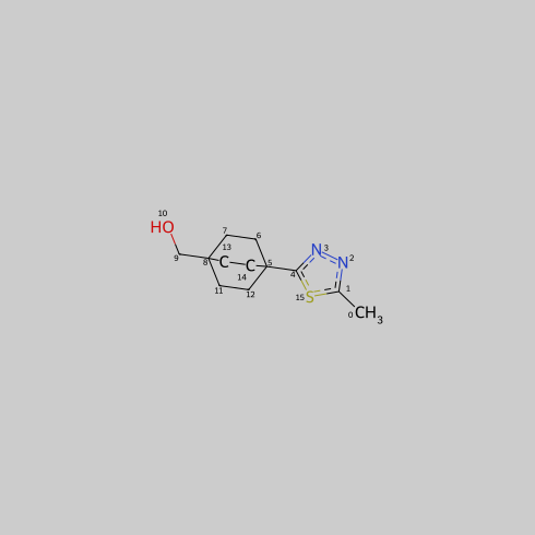 Cc1nnc(C23CCC(CO)(CC2)CC3)s1